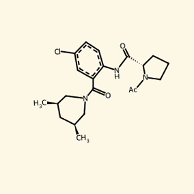 CC(=O)N1CCC[C@H]1C(=O)Nc1ccc(Cl)cc1C(=O)N1C[C@H](C)C[C@H](C)C1